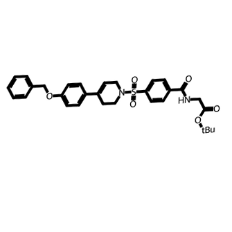 CC(C)(C)OC(=O)CNC(=O)c1ccc(S(=O)(=O)N2CC=C(c3ccc(OCc4ccccc4)cc3)CC2)cc1